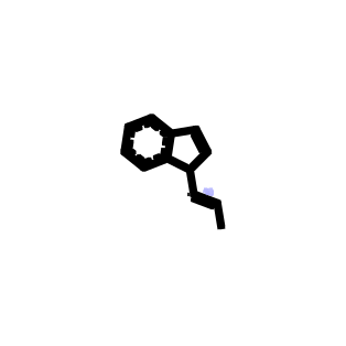 C/C=[C]/C1C=Cc2ccccc21